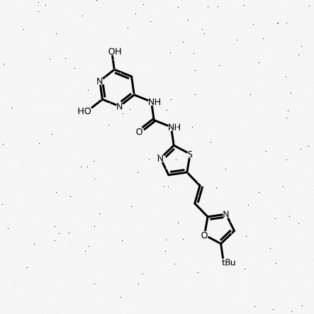 CC(C)(C)c1cnc(/C=C/c2cnc(NC(=O)Nc3cc(O)nc(O)n3)s2)o1